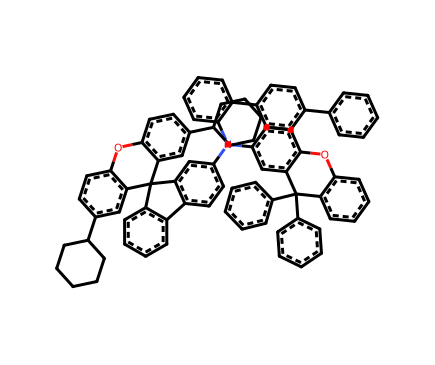 c1ccc(-c2ccc(-c3ccccc3N(c3ccc4c(c3)C(c3ccccc3)(c3ccccc3)c3ccccc3O4)c3ccc4c(c3)C3(c5cc(C6CCCCC6)ccc5Oc5ccc(C6CCCCC6)cc53)c3ccccc3-4)cc2)cc1